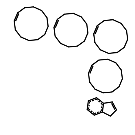 C1=CCCCCCCCCCC1.C1=CCCCCCCCCCC1.C1=CCCCCCCCCCC1.C1=CCCCCCCCCCC1.C1=Cc2ccccc2C1